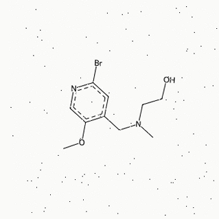 COc1cnc(Br)cc1CN(C)CCO